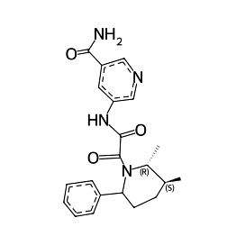 C[C@@H]1[C@@H](C)CCC(c2ccccc2)N1C(=O)C(=O)Nc1cncc(C(N)=O)c1